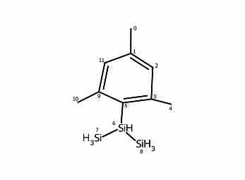 Cc1cc(C)c([SiH]([SiH3])[SiH3])c(C)c1